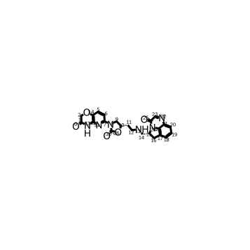 O=C1COc2ccc(N3C[C@H](CCNC[C@H]4Cc5cccc6ncc(=O)n4c56)OC3=O)nc2N1